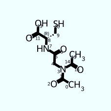 CC(=O)N(CC(=O)N[C@@H](CS)C(=O)O)C(C)=O